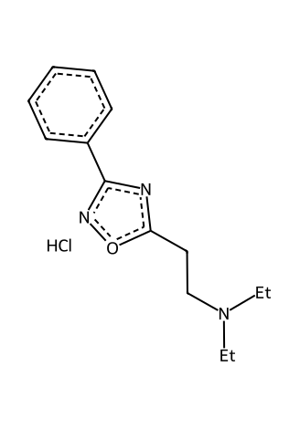 CCN(CC)CCc1nc(-c2ccccc2)no1.Cl